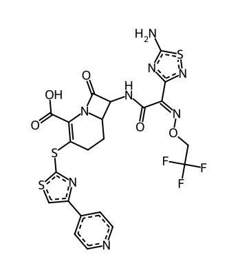 Nc1nc(/C(=N/OCC(F)(F)F)C(=O)NC2C(=O)N3C(C(=O)O)=C(Sc4nc(-c5ccncc5)cs4)CCC23)ns1